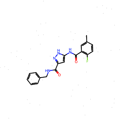 Cc1ccc(F)c(C(=O)Nc2cc(C(=O)NCc3ccccc3)n[nH]2)c1